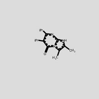 Cc1[nH]c2nc(C(C)C)c(C(C)C)c(=O)n2c1C